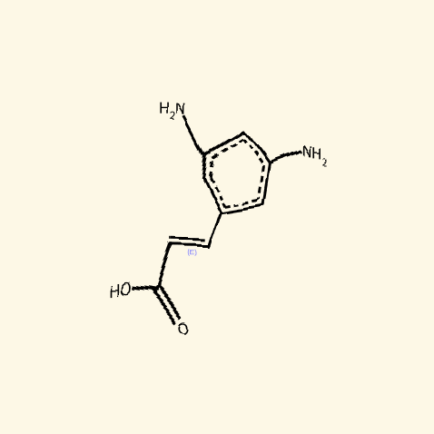 Nc1cc(N)cc(/C=C/C(=O)O)c1